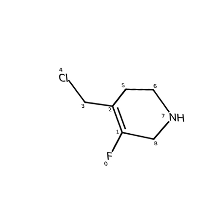 FC1=C(CCl)CCNC1